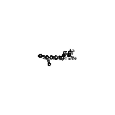 COc1cc(N2CCCc3cc(-c4cnn(C5CCN(c6ccc(-c7ccc(OCc8ccccc8)nc7OCc7ccccc7)cc6)CC5)c4)c(C(F)F)cc32)c2cc(C)c(=O)n(C)c2c1